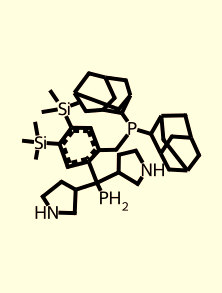 C[Si](C)(C)c1cc(CP(C2C3CC4CC(C3)CC2C4)C2C3CC4CC(C3)CC2C4)c(C(P)(C2CCNC2)C2CCNC2)cc1[Si](C)(C)C